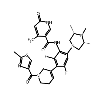 Cc1nc(C(=O)N2CCC=C(c3c(F)cc(N4C[C@@H](C)N(C)[C@@H](C)C4)c(NC(=O)c4c[nH]c(=O)cc4C(F)(F)F)c3F)C2)cs1